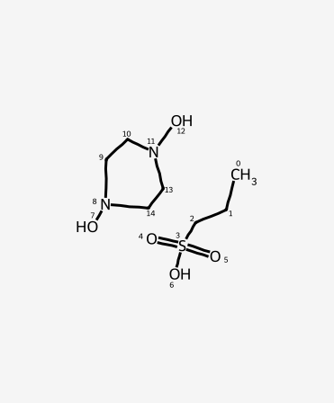 CCCS(=O)(=O)O.ON1CCN(O)CC1